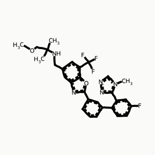 COCC(C)(C)NCc1cc(C(F)(F)F)c2oc(-c3cccc(-c4ccc(F)cc4-c4nncn4C)c3)nc2c1